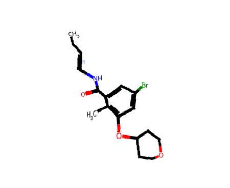 CC/C=C/NC(=O)c1cc(Br)cc(OC2CCOCC2)c1C